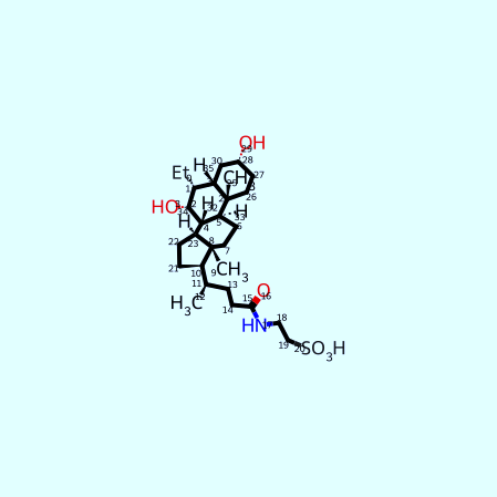 CC[C@H]1[C@@H](O)[C@@H]2[C@H](CC[C@]3(C)[C@@H]([C@H](C)CCC(=O)NCCS(=O)(=O)O)CC[C@@H]23)[C@@]2(C)CC[C@@H](O)C[C@@H]12